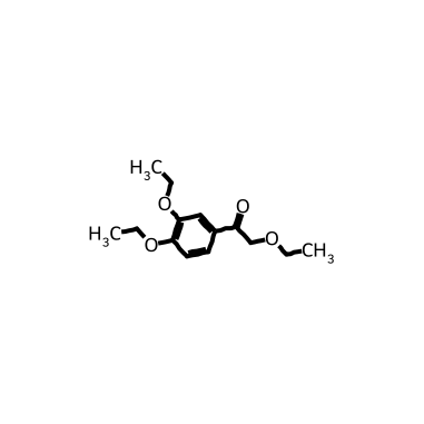 CCOCC(=O)c1ccc(OCC)c(OCC)c1